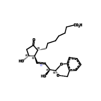 O=C(O)CCCCCC[C@H]1C(=O)C[C@@H](O)[C@@H]1/C=C/[C@H](O)[C@H]1OCc2ccccc2O1